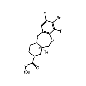 CC(C)(C)OC(=O)N1CCN2Cc3cc(F)c(Br)c(F)c3OC[C@H]2C1